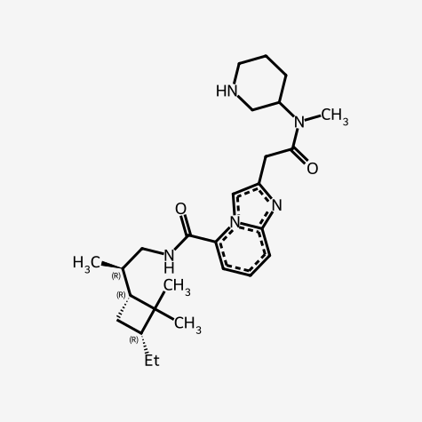 CC[C@@H]1C[C@H]([C@@H](C)CNC(=O)c2cccc3nc(CC(=O)N(C)C4CCCNC4)cn23)C1(C)C